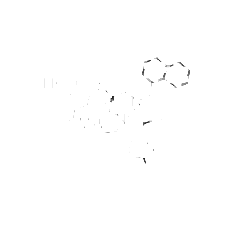 CSCC[C@H](NC(=O)CN(Cc1cccc2ccccc12)[C@@H](C(=O)[C@@H]1CCC(=O)N1)N1CCCC1)C(=O)O